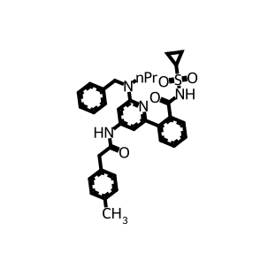 CCCN(Cc1ccccc1)c1cc(NC(=O)Cc2ccc(C)cc2)cc(-c2ccccc2C(=O)NS(=O)(=O)C2CC2)n1